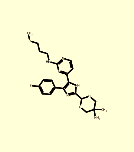 COCCCNc1nccc(-c2[nH]c(C3OCC(C)(N)CO3)nc2-c2ccc(F)cc2)n1